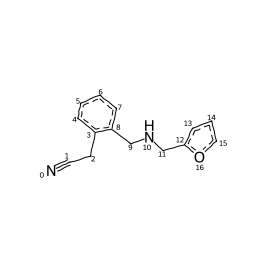 N#CCc1ccccc1CNCc1ccco1